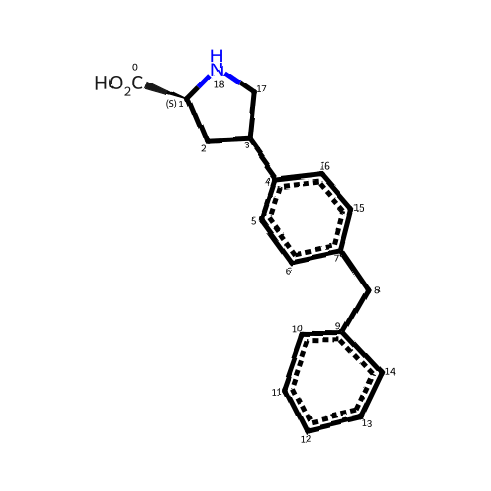 O=C(O)[C@@H]1CC(c2ccc(Cc3ccccc3)cc2)CN1